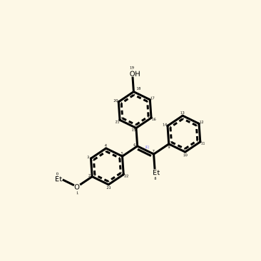 CCOc1ccc(/C(=C(\CC)c2ccccc2)c2ccc(O)cc2)cc1